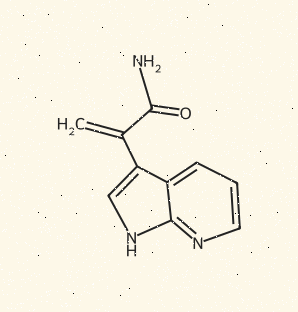 C=C(C(N)=O)c1c[nH]c2ncccc12